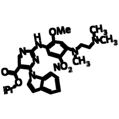 COc1cc(N(C)CCN(C)C)c([N+](=O)[O-])cc1Nc1ncc(C(=O)OC(C)C)c(-n2ccc3ccccc32)n1